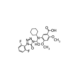 COc1cc(OC)c(N(C2CCCCC2)C(O)n2nnn(-c3c(F)cccc3F)c2=O)cc1C(=O)O